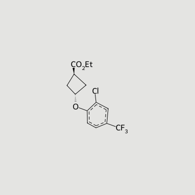 CCOC(=O)[C@H]1C[C@H](Oc2ccc(C(F)(F)F)cc2Cl)C1